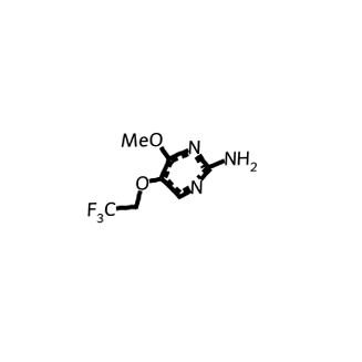 COc1nc(N)ncc1OCC(F)(F)F